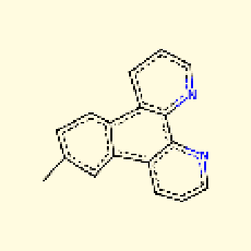 Cc1ccc2c(c1)c1cccnc1c1ncccc21